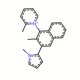 Cc1c(-c2cccn2C)cc2ccccc2c1-[n+]1ccccc1C